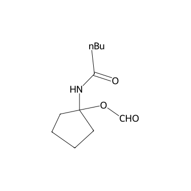 CCCCC(=O)NC1(OC=O)CCCC1